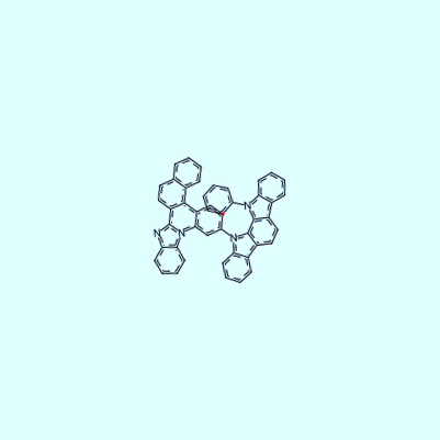 c1ccc(-n2c3ccccc3c3ccc4c5ccccc5n(-c5ccc6c7c8ccccc8ccc7c7nc8ccccc8n7c6c5)c4c32)cc1